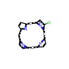 Clc1cc2cc3nc(cc4ccc(cc5nc(cc1[nH]2)C=C5)[nH]4)C=C3